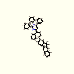 CC1(C)c2cc(-c3ccc(-c4cc(-c5ccccc5-c5ccccc5)nc(-c5ccccc5)n4)c4ccccc34)ccc2-c2cc3ccccc3cc21